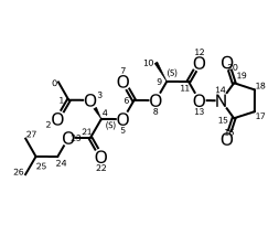 CC(=O)O[C@@H](OC(=O)O[C@@H](C)C(=O)ON1C(=O)CCC1=O)C(=O)OCC(C)C